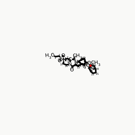 CCCS(=O)(=O)N1CCN(C(=O)c2cc3cc(OC4CC5CCC(C4)N5C(C)C)ccc3n2C(C)C)CC1